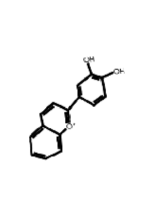 Oc1ccc(-c2ccc3ccccc3[o+]2)cc1O